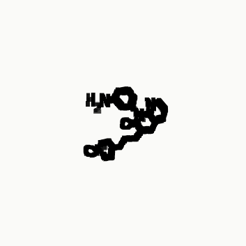 Nc1cccc(-n2c(=O)c(CCCc3cc[n+]([O-])cc3)cc3cccnc32)c1